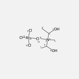 CC(O)[N+](C)(C)C(C)O.[Cl][Al-]([Cl])([Cl])[Cl]